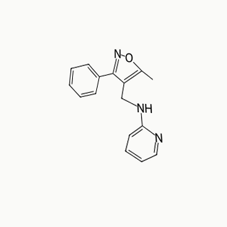 Cc1onc(-c2ccccc2)c1CNc1ccccn1